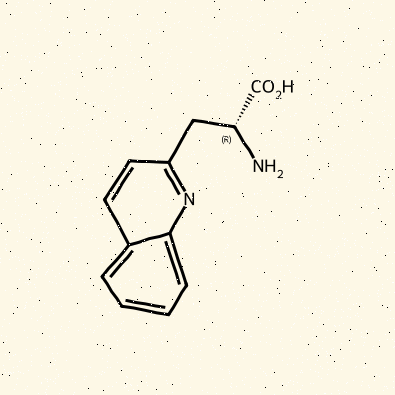 N[C@H](Cc1ccc2ccccc2n1)C(=O)O